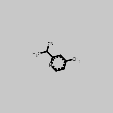 Cc1ccnc(C(C)C#N)c1